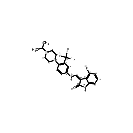 CC(C)N1CCN(c2ccc(NC=C3C(=O)Nc4cccc(F)c43)cc2C(F)(F)F)CC1